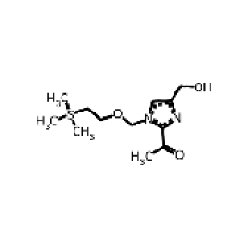 CC(=O)c1nc(CO)cn1COCCS(C)(C)C